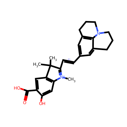 C[N+]1=C(/C=C/c2cc3c4c(c2)CCCN4CCC3)C(C)(C)c2cc(C(=O)O)c(O)cc21